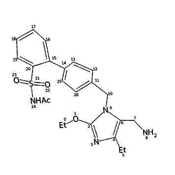 CCOc1nc(CC)c(CN)n1Cc1ccc(-c2ccccc2S(=O)(=O)NC(C)=O)cc1